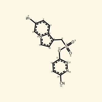 CC(C)c1ccc2c(CS(=O)(=O)Oc3ccc(C#N)nn3)ccn2c1